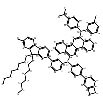 CCCCCCCCC1(CCCCCCCC)c2cc(C)ccc2-c2ccc(-c3cccc(N(c4ccc(-c5ccc6c(c5)CC6)cc4)c4cc5c6ccccc6c(N(c6ccc(C(C)C)cc6)c6cccc(C)c6)cc5c5ccccc45)c3)cc21